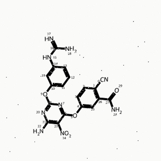 N#Cc1ccc(Oc2nc(Oc3cccc(NC(=N)N)c3)nc(N)c2[N+](=O)[O-])cc1C(N)=O